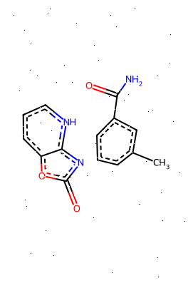 Cc1cccc(C(N)=O)c1.O=c1nc2[nH]cccc-2o1